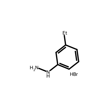 Br.CCc1cccc(NN)c1